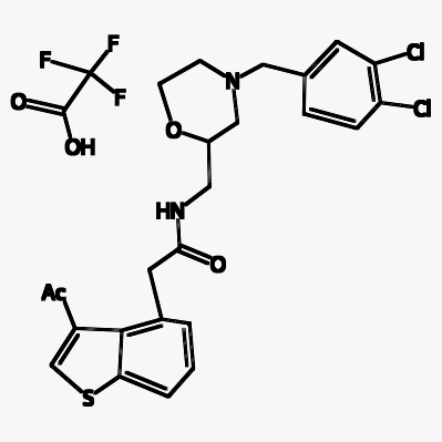 CC(=O)c1csc2cccc(CC(=O)NCC3CN(Cc4ccc(Cl)c(Cl)c4)CCO3)c12.O=C(O)C(F)(F)F